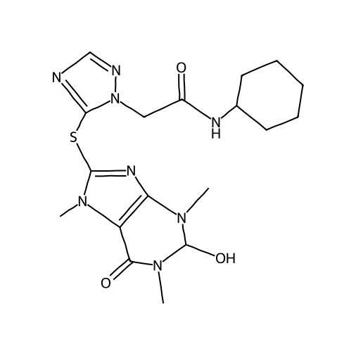 CN1C(=O)c2c(nc(Sc3ncnn3CC(=O)NC3CCCCC3)n2C)N(C)C1O